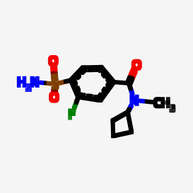 CN(C(=O)c1ccc(S(N)(=O)=O)c(F)c1)C1CCC1